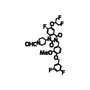 COc1cc(Cn2c(=O)c3cc(OC(CF)CF)c(F)cc3n(C3CCN(C=O)CC3)c2=O)ccc1OCc1cc(F)cc(F)c1